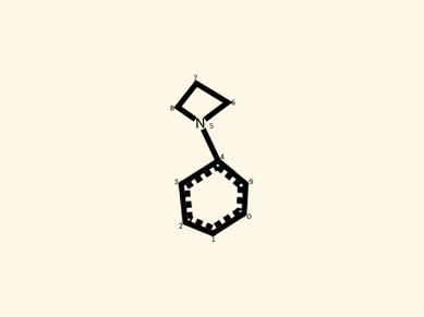 [c]1cccc(N2CCC2)c1